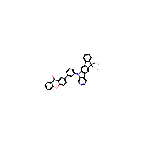 CC1(C)c2ccccc2-c2cc3c(cc21)c1ccncc1n3-c1cccc(-c2ccc3oc4ccccc4c(=O)c3c2)c1